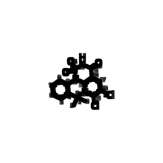 CC(C)(C)c1ccccc1N1c2nc(Cl)c(Cl)cc2C(=O)NS1(=O)=O